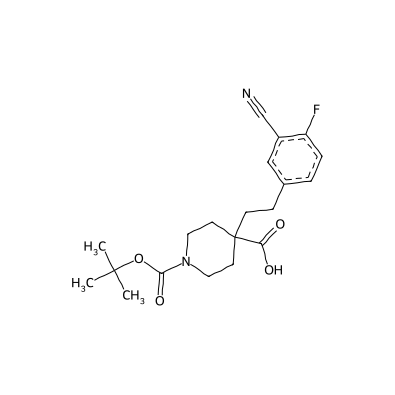 CC(C)(C)OC(=O)N1CCC(CCc2ccc(F)c(C#N)c2)(C(=O)O)CC1